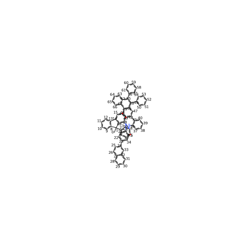 CC1(c2ccccc2)c2ccccc2-c2cccc(N(c3ccc(-c4ccc5ccccc5c4)cc3)c3ccccc3-c3ccc4c(c3)c(-c3ccccc3)c(-c3ccccc3)c3ccccc34)c21